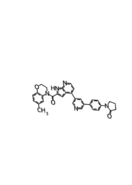 Cc1ccc2c(c1)N(C(=O)c1cc3c(-c4cncc(-c5ccc(N6CCCC6=O)cc5)c4)ccnc3[nH]1)CCO2